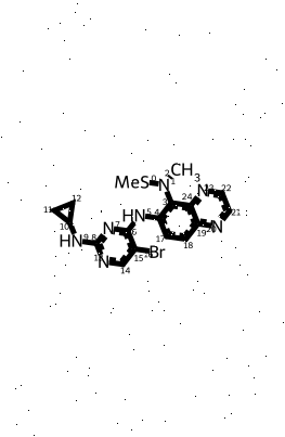 CSN(C)c1c(Nc2nc(NC3CC3)ncc2Br)ccc2nccnc12